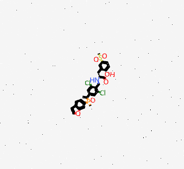 CC(c1cc(Cl)c(CN[C@@H](Cc2cccc(S(C)(=O)=O)c2)C(=O)O)c(Cl)c1)P(C)(=O)c1ccc2ccoc2c1